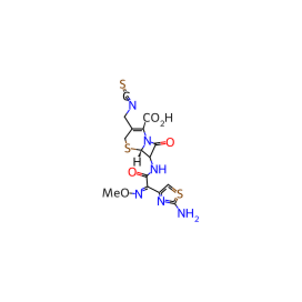 CO/N=C(\C(=O)NC1C(=O)N2C(C(=O)O)=C(CN=C=S)CS[C@@H]12)c1csc(N)n1